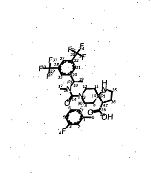 Cc1cc(F)ccc1[C@H]1C[C@@]2(CCN1C(=O)N(C)[C@H](C)c1cc(C(F)(F)F)cc(C(F)(F)F)c1)NCCC2C(=O)O